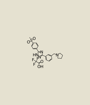 CS(=O)(=O)c1ccc(-c2nc(-c3cccc(CN4CCCC4)c3)n[nH]2)cc1.O=C(O)C(F)(F)F